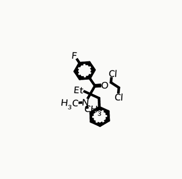 CCC(Cc1ccccc1)(C(=O)c1ccc(F)cc1)N(C)C.ClCCCl